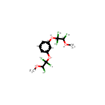 FC(OC(F)(F)F)C(F)(F)Oc1cccc(OC(F)(F)C(F)OC(F)(F)F)c1